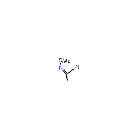 CC/C(C)=N\SC